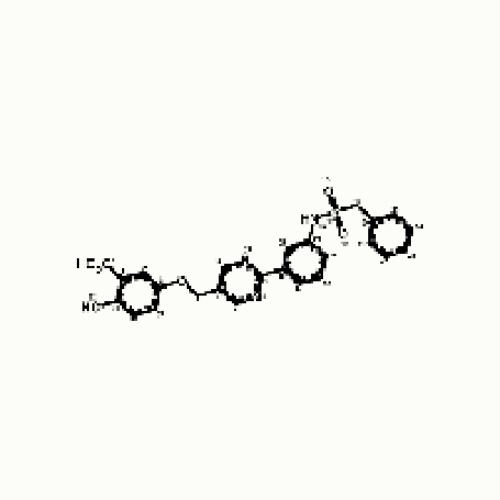 O=C(O)c1cc(OCc2cnc(-c3cccc(NS(=O)(=O)Cc4ccccc4)c3)nc2)ccc1O